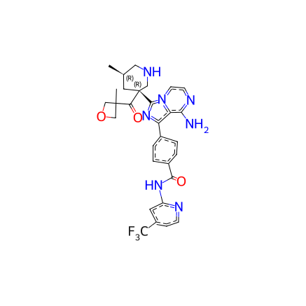 C[C@H]1CNC[C@@](C(=O)C2(C)COC2)(c2nc(-c3ccc(C(=O)Nc4cc(C(F)(F)F)ccn4)cc3)c3c(N)nccn23)C1